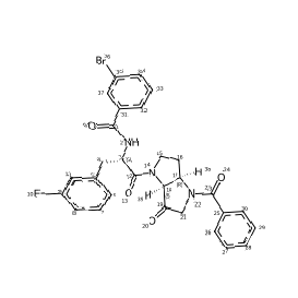 O=C(N[C@@H](Cc1cccc(F)c1)C(=O)N1CC[C@@H]2[C@H]1C(=O)CN2C(=O)c1ccccc1)c1cccc(Br)c1